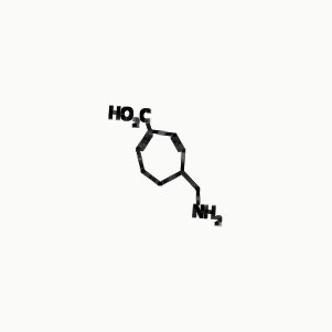 NCC1C=CC(C(=O)O)=CCC1